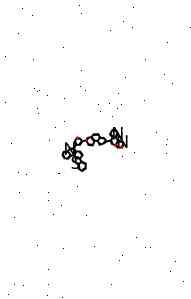 c1cc(-c2ccc3c(ccc4cc(-c5cc6cccnc6c6ncccc56)ccc43)c2)cc(-c2nc3ccccc3c3c2ccc2c4ccccc4sc23)c1